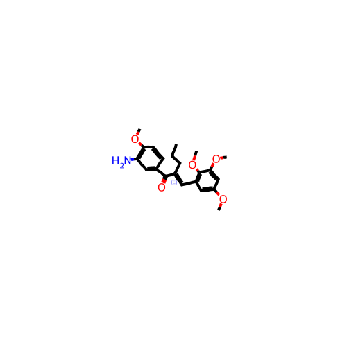 CCC/C(=C\c1cc(OC)cc(OC)c1OC)C(=O)c1ccc(OC)c(N)c1